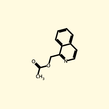 CC(=O)OCc1nccc2ccccc12